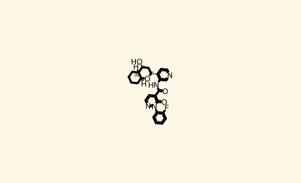 O=C(Nc1cnccc1[C@H]1C[C@@H](O)[C@H]2CCCC[C@H]2O1)c1ccnn(-c2ccccc2F)c1=O